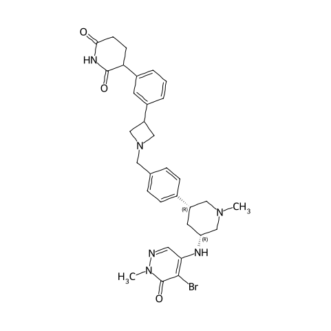 CN1C[C@H](Nc2cnn(C)c(=O)c2Br)C[C@H](c2ccc(CN3CC(c4cccc(C5CCC(=O)NC5=O)c4)C3)cc2)C1